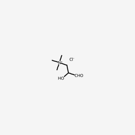 C[N+](C)(C)CC(O)C=O.[Cl-]